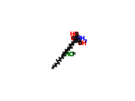 CCCCCCCCC=CCCCCCCCCCCCC(=O)C(N)(CCO)CCO.Cl